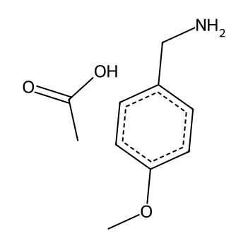 CC(=O)O.COc1ccc(CN)cc1